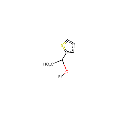 CCOC(C(=O)O)c1cccs1